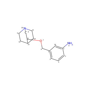 Nc1cccc(COC2CN3CCC2CC3)c1